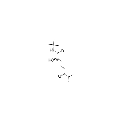 CC(C)C(=O)CCC[C@@H](O)C(=O)NC(C)(C)C